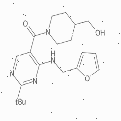 CC(C)(C)c1ncc(C(=O)N2CCC(CO)CC2)c(NCc2ccco2)n1